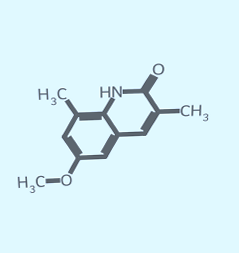 COc1cc(C)c2[nH]c(=O)c(C)cc2c1